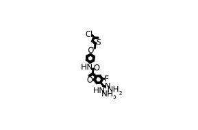 N/N=C(\NN)c1cc2occ(C(=O)Nc3ccc(OCc4cc(Cl)cs4)cc3)c2cc1F